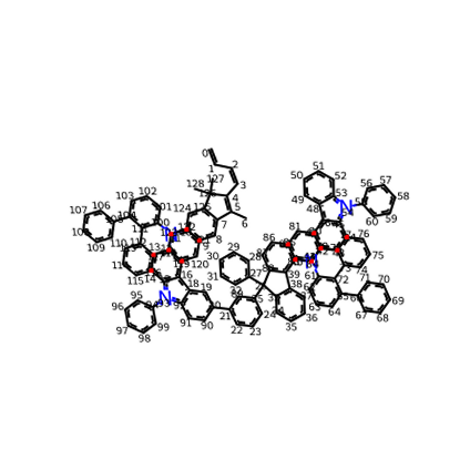 C=C/C=C\C1=C(C)c2ccc(N(c3ccc4c(c3)c3cc(-c5cccc(C6(c7ccccc7)c7ccccc7-c7c(N(c8ccc9c(c8)c8ccccc8n9-c8ccccc8)c8cccc(-c9ccccc9)c8-c8ccccc8-c8ccccc8)cccc76)c5)ccc3n4-c3ccccc3)c3cccc(-c4ccccc4)c3-c3ccccc3-c3ccccc3)cc2C1(C)C